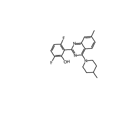 Cc1ccc2c(N3CCC(C)CC3)nc(-c3c(F)ccc(F)c3O)nc2c1